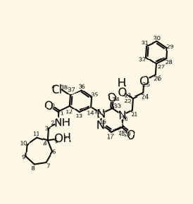 O=C(NCC1(O)CCCCCC1)c1cc(-n2ncc(=O)n(CC(O)COCc3ccccc3)c2=O)ccc1Cl